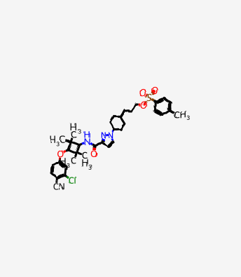 Cc1ccc(S(=O)(=O)OCCCC2CCC(n3ccc(C(=O)NC4C(C)(C)C(Oc5ccc(C#N)c(Cl)c5)C4(C)C)n3)CC2)cc1